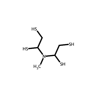 CN(C(S)CS)C(S)CS